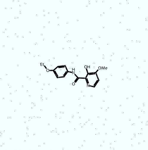 CCOc1ccc(NC(=O)c2nccc(OC)c2O)cc1